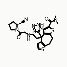 CN(C)C(=O)c1cc2c(s1)CCc1sccc1C2(CCNCC(=O)N1CCC[C@H]1C#N)c1nn[nH]n1